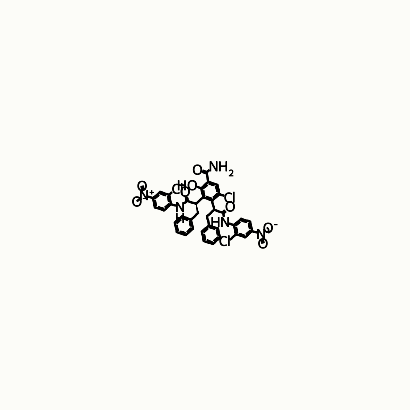 NC(=O)c1cc(Cl)c(C(Cc2ccccc2)C(=O)Nc2ccc([N+](=O)[O-])cc2Cl)c([C@@H](Cc2ccccc2)C(=O)Nc2ccc([N+](=O)[O-])cc2Cl)c1O